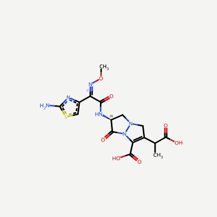 CO/N=C(\C(=O)N[C@H]1CN2CC(C(C)C(=O)O)=C(C(=O)O)N2C1=O)c1csc(N)n1